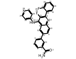 NC(=O)c1cccc(-c2ccc3nc(-c4ccccc4F)c(F)c(Nc4ccncc4)c3c2)c1